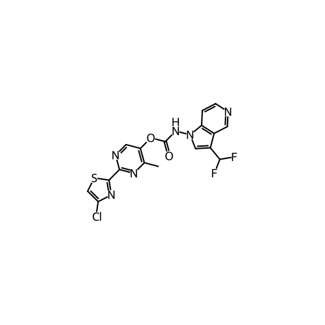 Cc1nc(-c2nc(Cl)cs2)ncc1OC(=O)Nn1cc(C(F)F)c2cnccc21